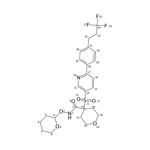 O=C(NOC1CCCCO1)C1(S(=O)(=O)c2ccc(-c3ccc(CCC(F)(F)F)cc3)nc2)CCOCC1